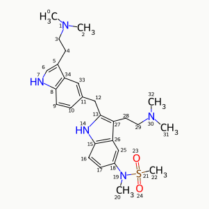 CN(C)CCc1c[nH]c2ccc(Cc3[nH]c4ccc(N(C)S(C)(=O)=O)cc4c3CCN(C)C)cc12